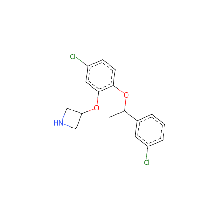 CC(Oc1ccc(Cl)cc1OC1CNC1)c1cccc(Cl)c1